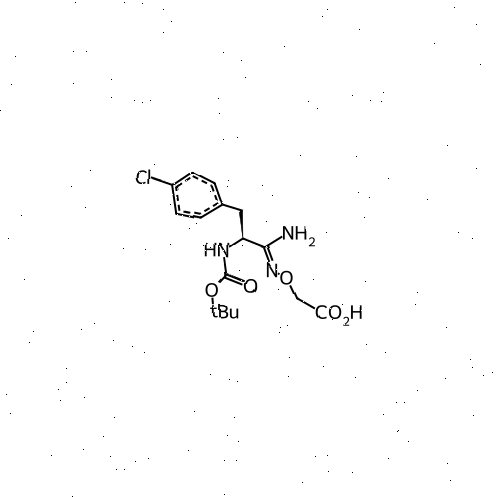 CC(C)(C)OC(=O)N[C@@H](Cc1ccc(Cl)cc1)/C(N)=N/OCC(=O)O